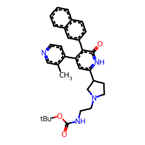 Cc1cnccc1-c1cc(C2CCN(CCNC(=O)OC(C)(C)C)C2)[nH]c(=O)c1-c1ccc2ccccc2c1